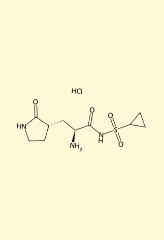 Cl.N[C@@H](C[C@@H]1CCNC1=O)C(=O)NS(=O)(=O)C1CC1